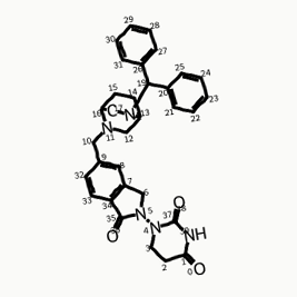 O=C1CCN(N2Cc3cc(CN4CC5CCC4CN5C(c4ccccc4)c4ccccc4)ccc3C2=O)C(=O)N1